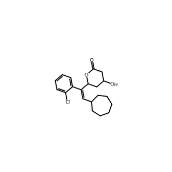 O=C1CC(O)CC(C(=CC2CCCCCC2)c2ccccc2Cl)O1